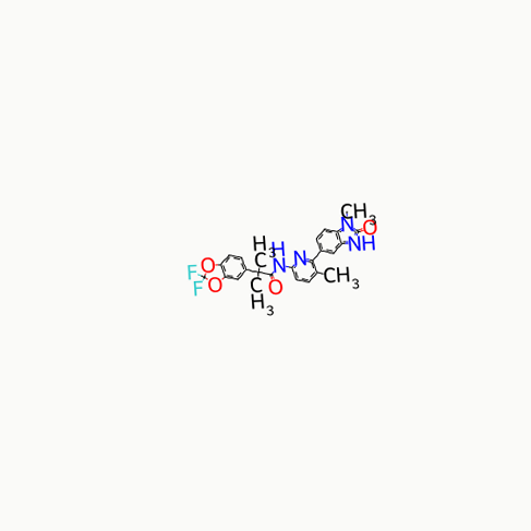 Cc1ccc(NC(=O)C(C)(C)c2ccc3c(c2)OC(F)(F)O3)nc1-c1ccc2c(c1)[nH]c(=O)n2C